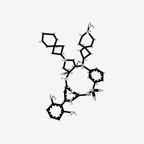 Cc1cccc(C)c1-c1cc2nc(n1)NS(=O)(=O)c1cccc(c1)N(C1CC3(CCN(C)CC3)C1)[C@@H]1CN(C3CC4(CCCCC4)C3)C[C@H]1O2